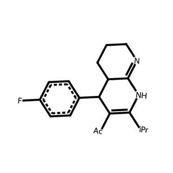 CC(=O)C1=C(C(C)C)NC2=NCCCC2C1c1ccc(F)cc1